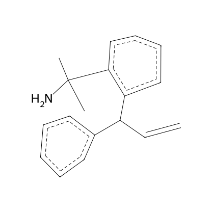 C=CC(c1ccccc1)c1ccccc1C(C)(C)N